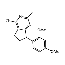 COc1ccc(C2CCc3c(Cl)nc(C)nc32)c(OC)c1